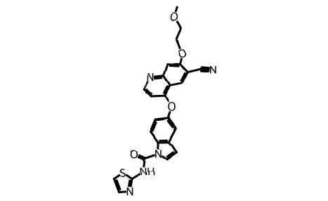 COCCOc1cc2nccc(Oc3ccc4c(ccn4C(=O)Nc4nccs4)c3)c2cc1C#N